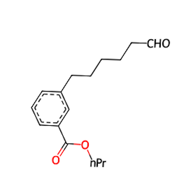 CCCOC(=O)c1cccc(CCCCCC=O)c1